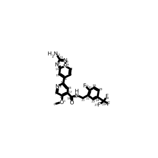 COc1cnc(-c2ccn3nc(N)nc3c2)cc1C(=O)NCc1cc(C(F)(F)F)ccc1F